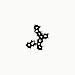 c1ccc2cc(-n3c4ccccc4c4cc5c6ccccc6c6cc7c(cc6c5cc43)sc3ccccc37)ncc2c1